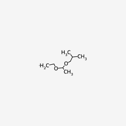 [CH2]COC(C)OCC(C)C